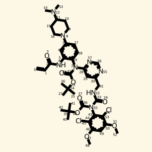 C=CC(=O)Nc1cc(N2CCC(N(C)C)CC2)ccc1N(C(=O)OC(C)(C)C)c1cc(CNC(=O)N(C(=O)OC(C)(C)C)c2c(Cl)c(OC)cc(OC)c2Cl)ncn1